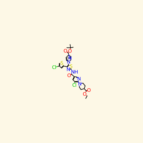 CCOC(=O)C1CCN(c2ncc(C(=O)Nc3nc(-c4cc(Cl)cs4)c(N4CC5CCC4CN5C(=O)OC(C)(C)C)s3)cc2Cl)CC1